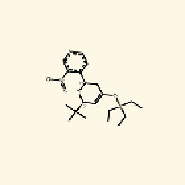 CC[Si](CC)(CC)OC1=C[C@@H](C(C)(C)C)O[C@@H](c2ccncc2[N+](=O)[O-])C1